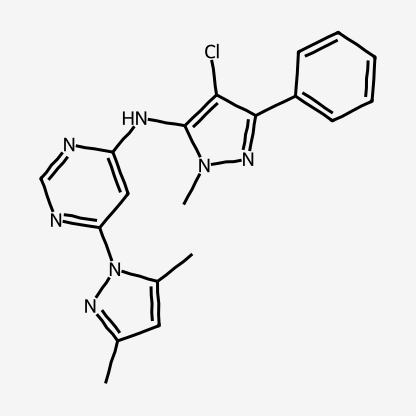 Cc1cc(C)n(-c2cc(Nc3c(Cl)c(-c4ccccc4)nn3C)ncn2)n1